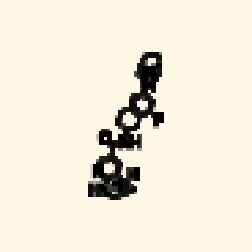 O=C(N[C@H]1CCc2cc(N3CC4CCC(C3)N4)cc(F)c2C1)c1cnc2c(c1)[C@@H]1C[C@@H]1CN2